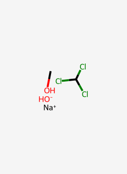 CO.ClC(Cl)Cl.[Na+].[OH-]